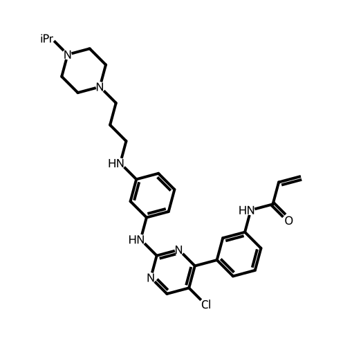 C=CC(=O)Nc1cccc(-c2nc(Nc3cccc(NCCCN4CCN(C(C)C)CC4)c3)ncc2Cl)c1